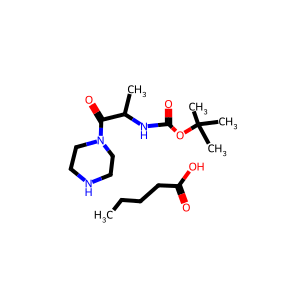 CC(NC(=O)OC(C)(C)C)C(=O)N1CCNCC1.CCCCC(=O)O